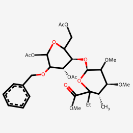 CCC1(C(=O)OC)O[C@@H](O[C@@H]2C(COC(C)=O)OC(OC(C)=O)C(OCc3ccccc3)[C@H]2OC(C)=O)C(OC)[C@@H](OC)[C@@H]1C